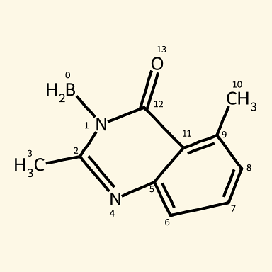 Bn1c(C)nc2cccc(C)c2c1=O